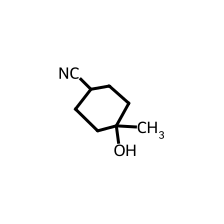 CC1(O)CCC(C#N)CC1